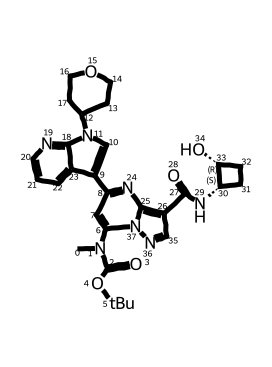 CN(C(=O)OC(C)(C)C)c1cc(-c2cn(C3CCOCC3)c3ncccc23)nc2c(C(=O)N[C@H]3CC[C@H]3O)cnn12